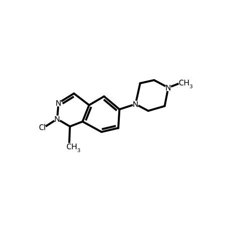 CC1c2ccc(N3CCN(C)CC3)cc2C=NN1Cl